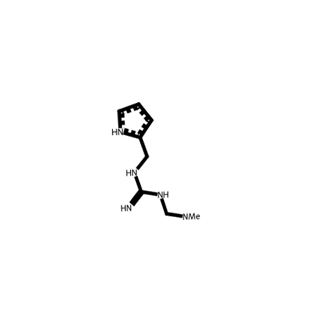 CNCNC(=N)NCc1ccc[nH]1